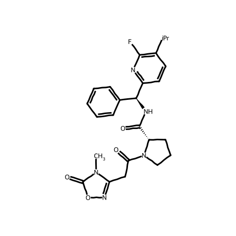 CC(C)c1ccc([C@@H](NC(=O)[C@@H]2CCCN2C(=O)Cc2noc(=O)n2C)c2ccccc2)nc1F